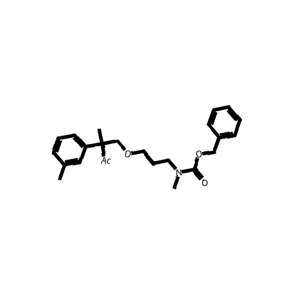 CC(=O)C(C)(COCCCN(C)C(=O)OCc1ccccc1)c1cccc(C)c1